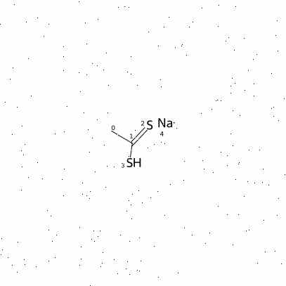 CC(=S)S.[Na]